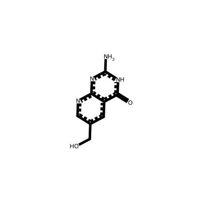 Nc1nc2ncc(CO)cc2c(=O)[nH]1